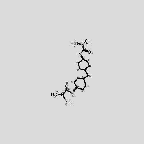 CN(N)C(=O)N=C1CCC(CC2CCC(=NC(=O)N(C)N)CC2)CC1